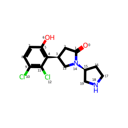 O=C1C[C@H](c2c(O)ccc(Cl)c2Cl)CN1[C@H]1CCNC1